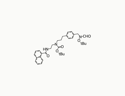 CC(C)(C)OC(=O)N(CCCc1ccc(CN(C=O)OC(C)(C)C)cc1)CCNC(=O)c1cccc2ccccc12